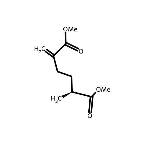 C=C(CC[C@H](C)C(=O)OC)C(=O)OC